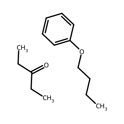 CCC(=O)CC.CCCCOc1ccccc1